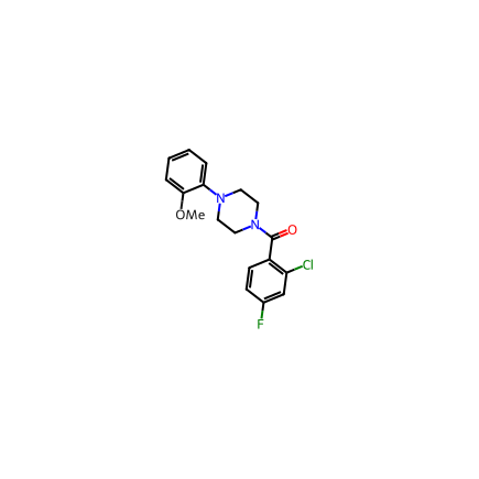 COc1ccccc1N1CCN(C(=O)c2ccc(F)cc2Cl)CC1